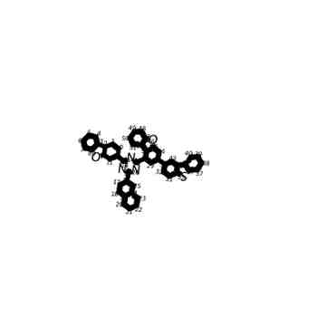 C1=CC2c3ccccc3OC2C=C1c1nc(-c2ccc3ccccc3c2)nc(-c2cc(-c3ccc4sc5ccccc5c4c3)cc3oc4ccccc4c23)n1